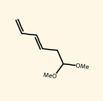 C=C/C=C/CC(OC)OC